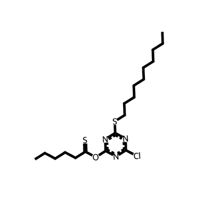 CCCCCCCCCCSc1nc(Cl)nc(OC(=S)CCCCC)n1